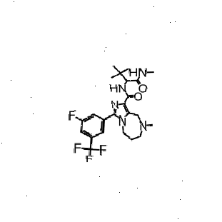 CNC(=O)C(NC(=O)c1nc(-c2cc(F)cc(C(F)(F)F)c2)n2c1CN(C)CCC2)C(C)(C)C